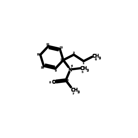 CCCC1(N(C)C(C)=O)C=CCC=C1